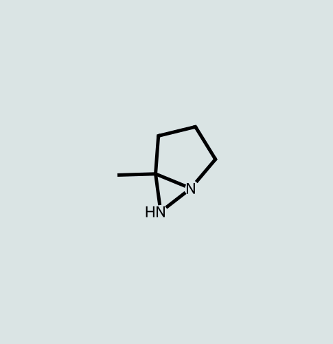 CC12CCCN1N2